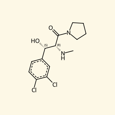 CN[C@@H](C(=O)N1CCCC1)[C@@H](O)c1ccc(Cl)c(Cl)c1